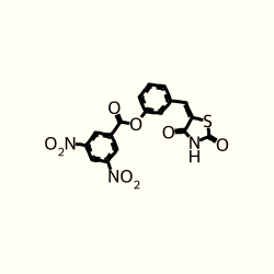 O=C1NC(=O)/C(=C\c2cccc(OC(=O)c3cc([N+](=O)[O-])cc([N+](=O)[O-])c3)c2)S1